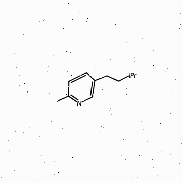 Cc1ccc(CCC(C)C)cn1